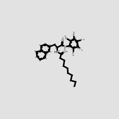 CCCCCCCCCC(=O)NC(Cc1ccc2ccccc2c1)C(=O)Oc1c(F)c(F)c(F)c(F)c1F